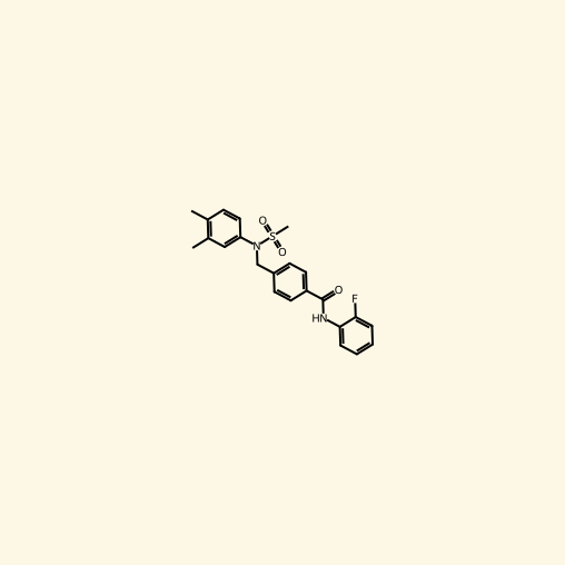 Cc1ccc(N(Cc2ccc(C(=O)Nc3ccccc3F)cc2)S(C)(=O)=O)cc1C